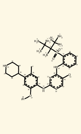 BC(B)(B)C(B)(C(B)(B)B)S(=O)(=O)c1ccccc1Nc1nc(Nc2cc(C)c(C3CCNCC3)cc2OC(C)C)ncc1Cl